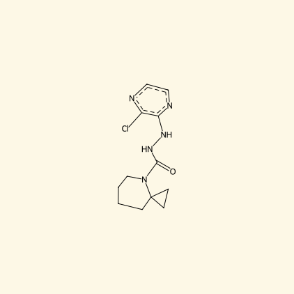 O=C(NNc1nccnc1Cl)N1CCCCC12CC2